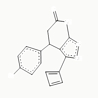 CCc1ccc(C2CC(=O)Nc3n[nH]c(C4=CC=C4)c32)cc1